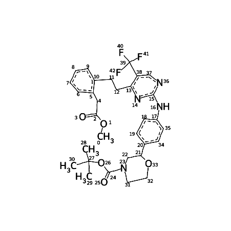 COC(=O)Cc1ccccc1CCc1nc(Nc2ccc(C3CN(C(=O)OC(C)(C)C)CCO3)cc2)ncc1C(F)(F)F